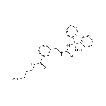 COCCCNC(=O)c1cccc(CNC(=N)NC(C=O)(c2ccccc2)c2ccccc2)c1